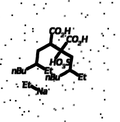 CCCCC(CC)CC(C(=O)O)C(CC(CC)CCCC)(C(=O)O)S(=O)(=O)O.C[CH2][Na]